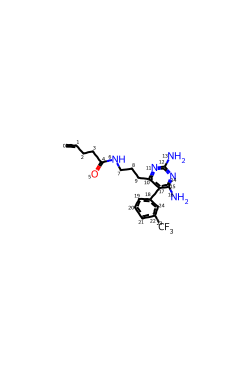 C=CCCC(=O)NCCCc1nc(N)nc(N)c1-c1cccc(C(F)(F)F)c1